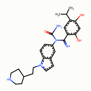 CC(C)c1cc(C(=N)N(C(N)=O)c2ccc3c(ccn3CCC3CCNCC3)c2)c(O)cc1O